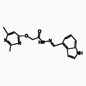 Cc1cc(OCC(=O)NN=Cc2cccc3[nH]ccc23)nc(C)n1